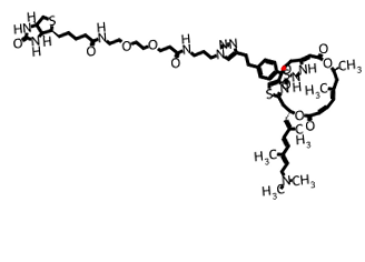 CC(/C=C/C(C)=C/[C@@H]1Cc2nc(cs2)CC/C(NNS(=O)(=O)c2ccc(CCc3cn(CCCNC(=O)CCOCCOCCNC(=O)CCCC[C@@H]4SC[C@@H]5NC(=O)N[C@@H]54)nn3)cc2)=C/C(=O)O[C@@H](C)C/C(C)=C/C=C\C(=O)O1)=C\CN(C)C